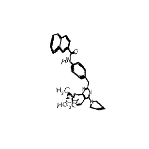 CN(C)c1nc(Cc2ccc(NC(=O)c3ccc4ccccc4c3)cc2)nc(N2CCCC2)c1CC(=O)O